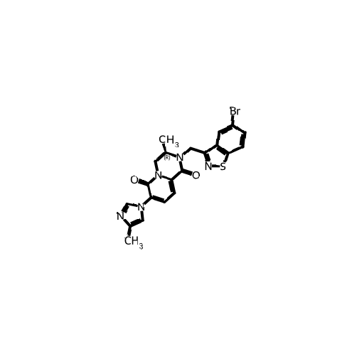 Cc1cn(-c2ccc3n(c2=O)C[C@@H](C)N(Cc2nsc4ccc(Br)cc24)C3=O)cn1